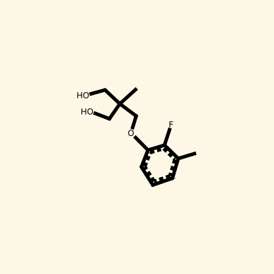 Cc1[c]ccc(OCC(C)(CO)CO)c1F